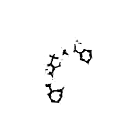 CN(C)CC(OC(=O)N1Cc2c(NC(=O)c3ccccc3F)n[nH]c2C1(C)C)c1ccccc1